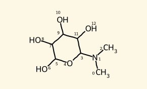 CN(C)C1OC(O)C(O)C(O)C1O